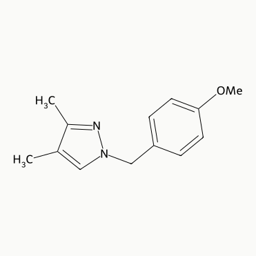 COc1ccc(Cn2cc(C)c(C)n2)cc1